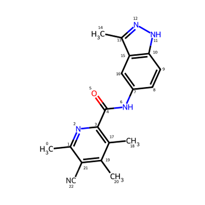 Cc1nc(C(=O)Nc2ccc3[nH]nc(C)c3c2)c(C)c(C)c1C#N